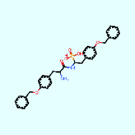 N[C@@H](Cc1ccc(OCc2ccccc2)cc1)C(=O)N[C@H](Cc1ccc(OCc2ccccc2)cc1)P(=O)(O)O